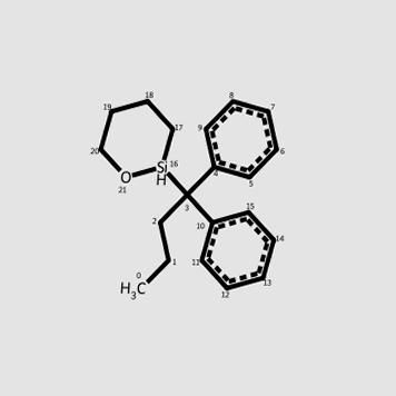 CCCC(c1ccccc1)(c1ccccc1)[SiH]1CCCCO1